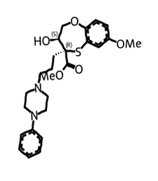 COC(=O)[C@]1(CCCN2CCN(c3ccccc3)CC2)Sc2cc(OC)ccc2OC[C@@H]1O